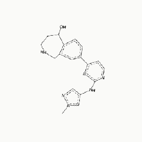 Cn1cc(Nc2nccc(-c3ccc4c(c3)CNCCC4O)n2)cn1